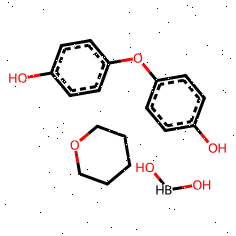 C1CCOCC1.OBO.Oc1ccc(Oc2ccc(O)cc2)cc1